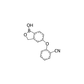 N#Cc1ccccc1Oc1ccc2c(c1)COB2O